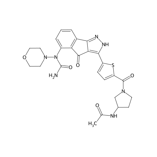 CC(=O)NC1CCN(C(=O)c2ccc(-c3[nH]nc4c3C(=O)c3c-4cccc3N(C(N)=O)N3CCOCC3)s2)C1